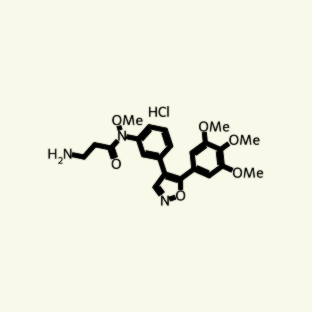 COc1cc(-c2oncc2-c2cccc(N(OC)C(=O)CCN)c2)cc(OC)c1OC.Cl